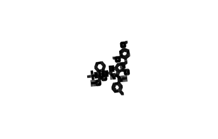 COc1ccc(CN2Cc3nc(N[C@@H]4CCCC[C@@H]4N(C(=O)O)C(C)(C)C)nc(Nc4cccc(C)c4)c3C2=O)c(OC)c1